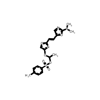 Cc1ccc(S(=O)(=O)OC(C)Oc2coc(C=Cc3cnc(N(C)C)o3)n2)cc1